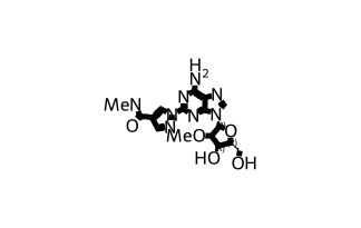 CNC(=O)c1cnn(-c2nc(N)c3ncn([C@@H]4O[C@H](CO)[C@@H](O)C4OC)c3n2)c1